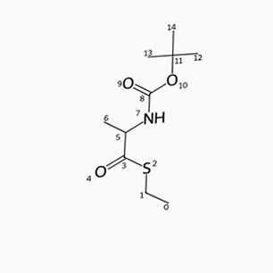 CCSC(=O)C(C)NC(=O)OC(C)(C)C